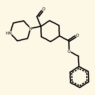 O=CC1(N2CCNCC2)CCC(C(=O)OCc2ccccc2)CC1